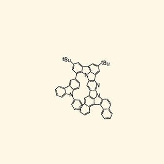 CC(C)(C)c1cc(-c2ccc3c(c2)c2ccccc2n3-c2ccccc2)c2c(c1)c1cc(C(C)(C)C)cc3c4nc5c(cc4n2c13)c1cc2ccccc2c2c3c4ccccc4ccc3n5c12